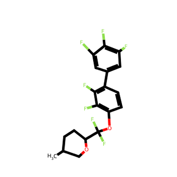 CC1CCC(C(F)(F)Oc2ccc(-c3cc(F)c(F)c(F)c3)c(F)c2F)OC1